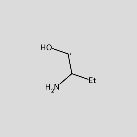 CCC(N)[C]O